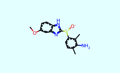 COc1ccc2[nH]c([S+]([O-])c3ccc(C)c(N)c3C)nc2c1